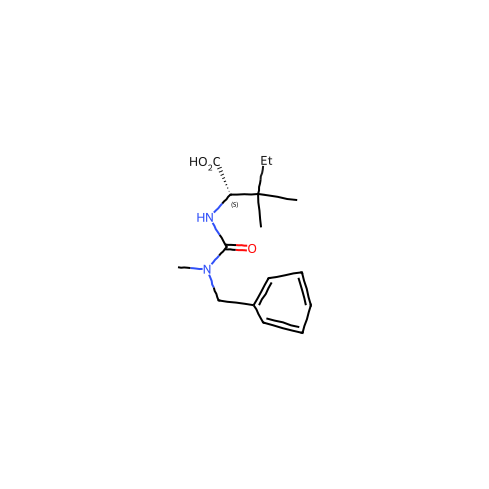 CCC(C)(C)[C@H](NC(=O)N(C)Cc1ccccc1)C(=O)O